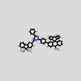 CC1c2ccccc2C2(c3cc(-c4ccc(C5N=C(c6ccccc6)C6C(C7C=CC8=C(C7)c7ccccc7C8(C)C)N56)cc4)ccc31)c1ccccc1C1C=CC=CC12